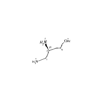 NC[C@@H](N)CO